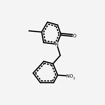 Cc1ccc(=O)n(Cc2ccccc2[N+](=O)[O-])c1